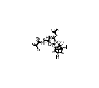 CC(C)C[C@H](NC(=O)CNC(=O)C(C)C)B1OC2C[C@H]3C[C@H](C3(C)C)[C@@]2(C)O1